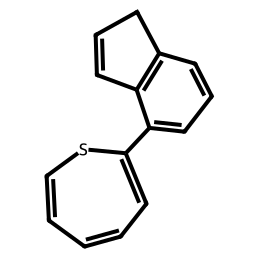 C1=CC=C(c2cccc3c2C=CC3)SC=C1